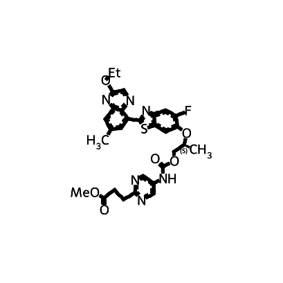 CCOc1cnc2c(-c3nc4cc(F)c(O[C@@H](C)COC(=O)Nc5cnc(CCC(=O)OC)nc5)cc4s3)cc(C)cc2n1